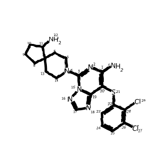 Nc1nc(N2CCC3(CCCC3N)CC2)n2ncnc2c1Sc1cccc(Cl)c1Cl